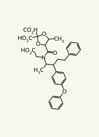 CC1OC(C(=O)O)(C(=O)O)OC1C(=O)N(CC(=O)O)C(C)C(CCc1ccccc1)c1ccc(Oc2ccccc2)cc1